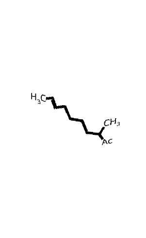 CC=CCCCCC(C)C(C)=O